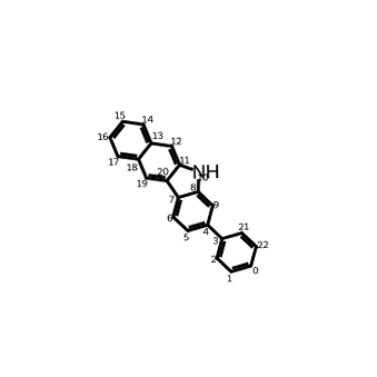 c1ccc(-c2ccc3c(c2)[nH]c2cc4ccccc4cc23)cc1